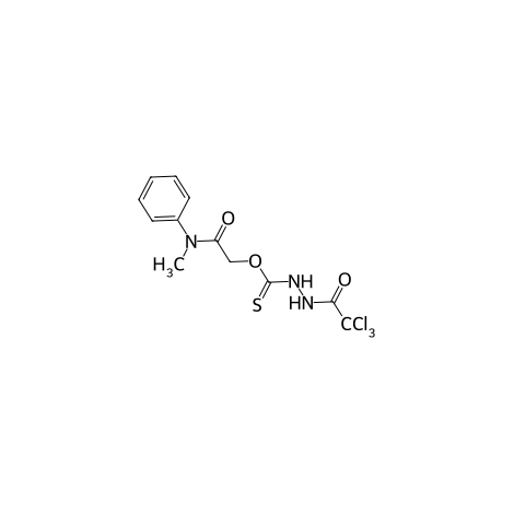 CN(C(=O)COC(=S)NNC(=O)C(Cl)(Cl)Cl)c1ccccc1